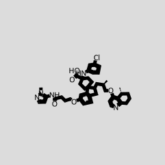 C[C@@H](COc1ccnc2c1[C@H](C)CCC2)CC1Cc2ccc(OCCCC(=O)Nc3ccnn3C)cc2C12CCC(Nc1cccc(Cl)c1)(C(=O)O)CC2